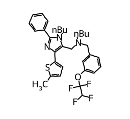 CCCCN(Cc1cccc(OC(F)(F)C(F)F)c1)Cc1c(-c2ccc(C)s2)nc(-c2ccccc2)n1CCCC